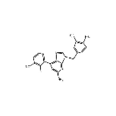 Cc1c(C#N)cccc1-c1nc(N)nc2c1ncn2Cc1ccc(N)c(C(F)(F)F)c1